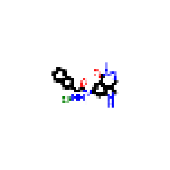 O=C1NN=Cc2c[nH]c3cc(NC(=O)[C@H](NCl)C4Cc5ccccc5C4)cc1c23